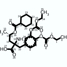 CCOC(=O)Oc1ccc(CC(N)(C[C@H](C)OC(=O)C2CCCCC2)C(=O)O)cc1OC(=O)OCC